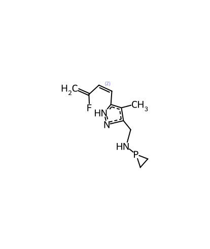 C=C(F)/C=C\c1[nH]nc(CNP2CC2)c1C